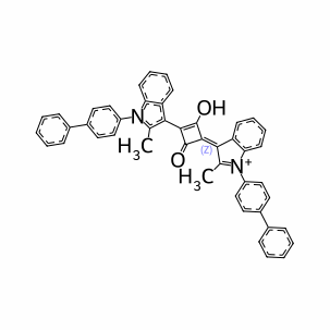 CC1=[N+](c2ccc(-c3ccccc3)cc2)c2ccccc2/C1=C1/C(=O)C(c2c(C)n(-c3ccc(-c4ccccc4)cc3)c3ccccc23)=C1O